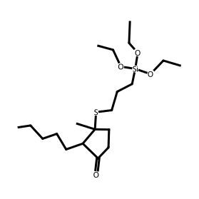 CCCCCC1C(=O)CCC1(C)SCCC[Si](OCC)(OCC)OCC